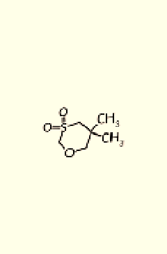 CC1(C)COCS(=O)(=O)C1